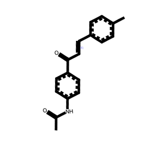 CC(=O)Nc1ccc(C(=O)/C=C/c2ccc(C)cc2)cc1